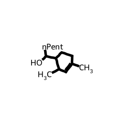 CCCCCC(O)C1CCC(C)=CC1C